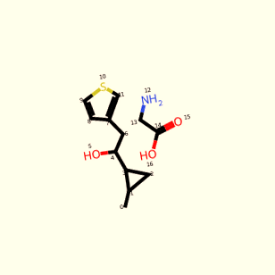 CC1CC1C(O)Cc1ccsc1.NCC(=O)O